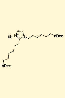 CCCCCCCCCCCCCCCCc1n(CCCCCCCCCCCCCCCC)cc[n+]1CC